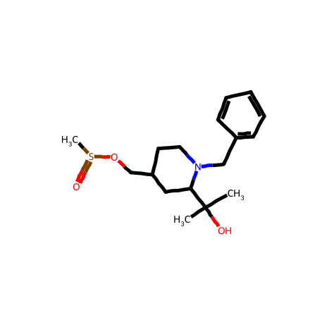 CS(=O)OCC1CCN(Cc2ccccc2)C(C(C)(C)O)C1